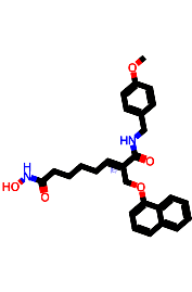 COc1ccc(CNC(=O)/C(=C/CCCCC(=O)NO)COc2cccc3ccccc23)cc1